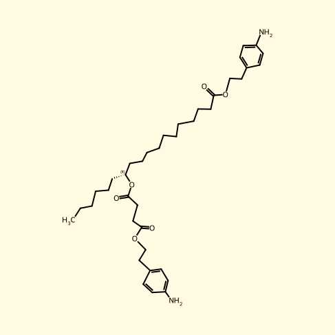 CCCCCC[C@H](CCCCCCCCCCC(=O)OCCc1ccc(N)cc1)OC(=O)CCC(=O)OCCc1ccc(N)cc1